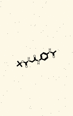 CC(=O)Nc1ccc(NC(=O)CNC(=O)OC(C)(C)C)cc1